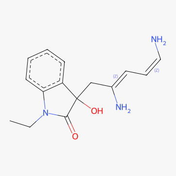 CCN1C(=O)C(O)(C/C(N)=C/C=C\N)c2ccccc21